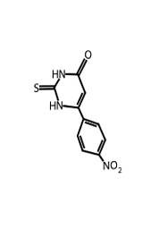 O=c1cc(-c2ccc([N+](=O)[O-])cc2)[nH]c(=S)[nH]1